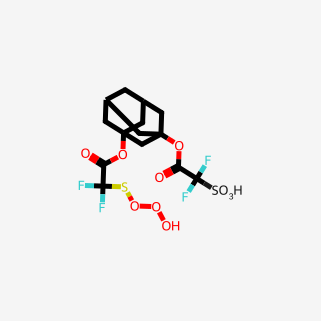 O=C(OC12CC3CC(C1)CC(OC(=O)C(F)(F)S(=O)(=O)O)(C3)C2)C(F)(F)SOOO